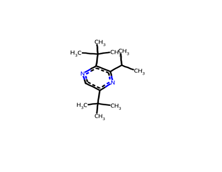 CC(C)c1nc(C(C)(C)C)cnc1C(C)(C)C